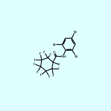 O=C(Nc1c(Br)cc(Br)cc1Br)C1(F)C(F)(F)C(F)(F)C(F)(F)C(F)(F)C1(F)F